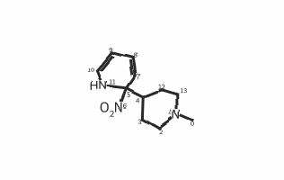 CN1CCC(C2([N+](=O)[O-])C=CC=CN2)CC1